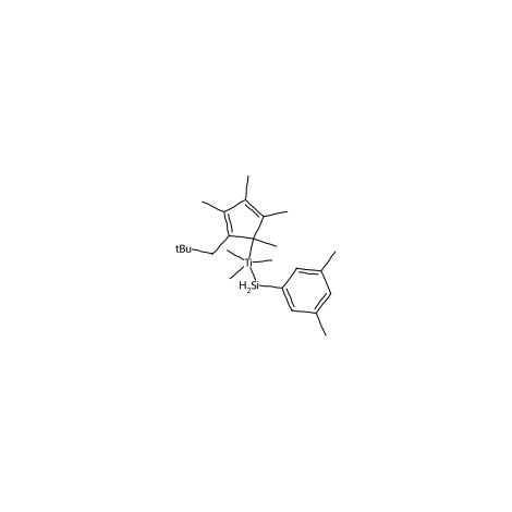 CC1=C(C)[C](C)([Ti]([CH3])([CH3])([CH3])[SiH2]c2cc(C)cc(C)c2)C(CC(C)(C)C)=C1C